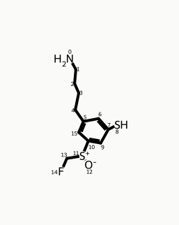 NCCCCc1cc(S)cc([S+]([O-])CF)c1